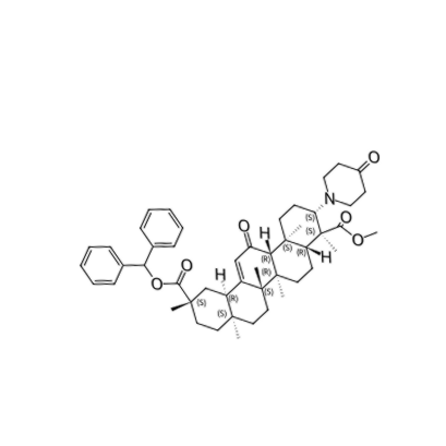 COC(=O)[C@]1(C)[C@@H](N2CCC(=O)CC2)CC[C@@]2(C)[C@H]1CC[C@]1(C)[C@@H]2C(=O)C=C2[C@@H]3C[C@@](C)(C(=O)OC(c4ccccc4)c4ccccc4)CC[C@]3(C)CC[C@]21C